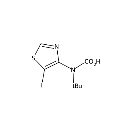 CC(C)(C)N(C(=O)O)c1ncsc1I